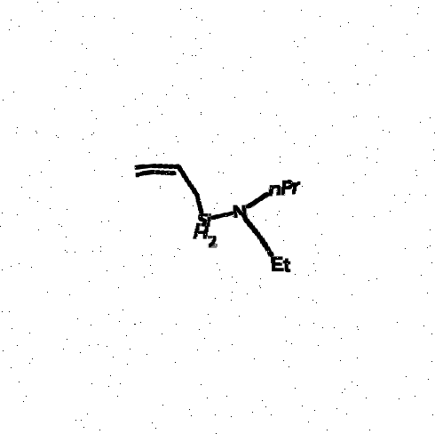 C=C[SiH2]N(CC)CCC